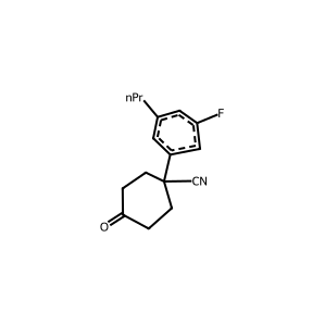 CCCc1cc(F)cc(C2(C#N)CCC(=O)CC2)c1